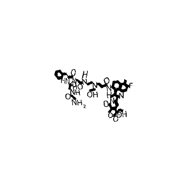 CC[C@@]1(O)C(=O)OCc2c1cc1n(c2=O)Cc2c-1nc1cc(F)c(C)c3c1c2[C@@H](NC(=O)CCN(CCO)CCNC(=O)CNC(=O)[C@H](Cc1ccccc1)NC(=O)CNC(=O)CN)CC3